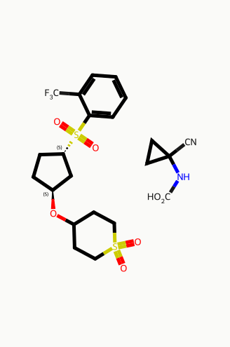 N#CC1(NC(=O)O)CC1.O=S1(=O)CCC(O[C@H]2CC[C@H](S(=O)(=O)c3ccccc3C(F)(F)F)C2)CC1